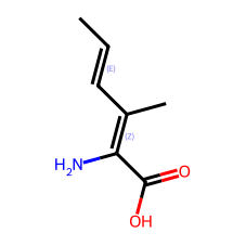 C/C=C/C(C)=C(\N)C(=O)O